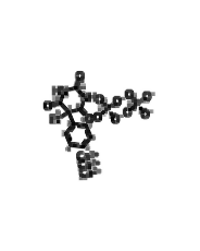 CCC1(c2ccccc2)C(=O)NC(=O)NC1=O.O=P([O-])([O-])[O-].O=P([O-])([O-])[O-].[Ca+2].[Ca+2].[Ca+2]